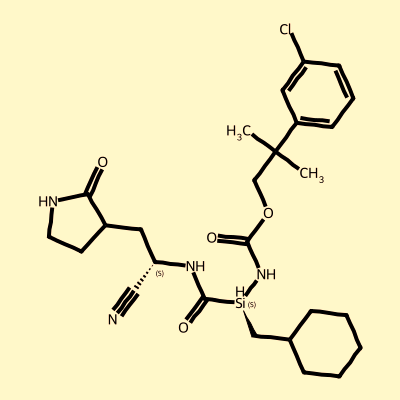 CC(C)(COC(=O)N[Si@@H](CC1CCCCC1)C(=O)N[C@H](C#N)CC1CCNC1=O)c1cccc(Cl)c1